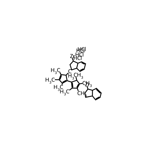 CC1=C(C)C(C)C(C2=C(C)C(C)=C(C)C2C)=C1C.Cl.Cl.Cl.Cl.[Zr][CH]1CCC2C=CC=CC12.[Zr][CH]1CCC2C=CC=CC12